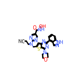 N#CCCN(Cc1cc2nc(-c3cccc4[nH]ncc34)nc(N3CCOCC3)c2s1)c1ncc(C(=O)NO)cn1